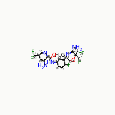 C[C@@]1(c2cc(NC(=O)c3ncc(C(F)F)cc3N)ccc2F)COC(CF)(CF)C(N)=N1